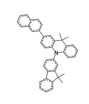 CC1(C)c2ccccc2-c2ccc(N3c4ccccc4C(C)(C)c4cc(-c5ccc6ccccc6c5)ccc43)cc21